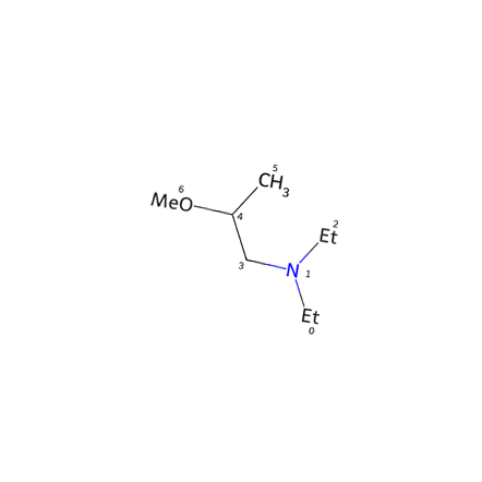 CCN(CC)CC(C)OC